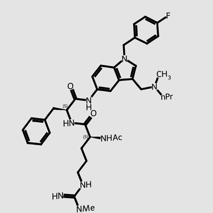 CCCN(C)Cc1cn(Cc2ccc(F)cc2)c2ccc(NC(=O)[C@H](Cc3ccccc3)NC(=O)[C@H](CCCNC(=N)NC)NC(C)=O)cc12